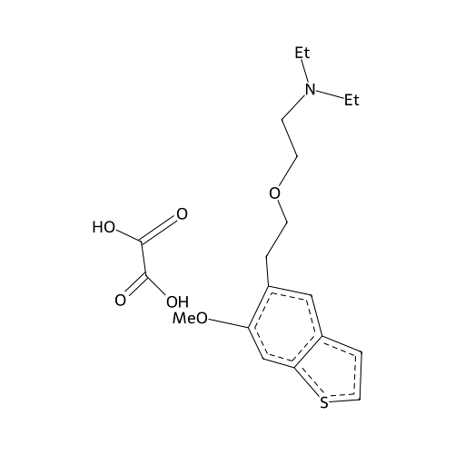 CCN(CC)CCOCCc1cc2ccsc2cc1OC.O=C(O)C(=O)O